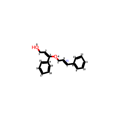 OCC=C(OC/C=C/c1ccccc1)c1ccccc1